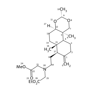 C=C1CCC2[C@]3(C)CO[C@@H](C)O[C@@H]3CC[C@@]2(C)[C@@H]1CCN(CC(=O)OC)CC(=O)OCC